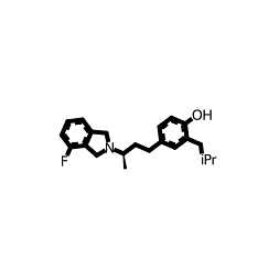 CC(C)Cc1cc(CC[C@@H](C)N2Cc3cccc(F)c3C2)ccc1O